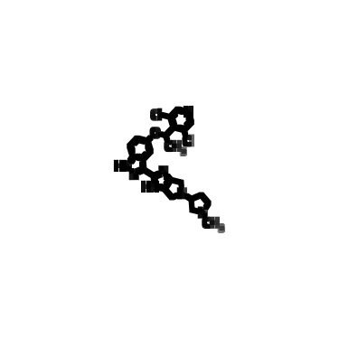 CC(Oc1ccc2[nH]nc(-c3nc4c([nH]3)CN(C3CCN(C)C3)C4)c2c1)c1c(Cl)cncc1Cl